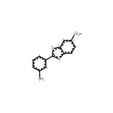 Nc1cccc(-c2nc3ccc(C(=O)O)cc3o2)c1